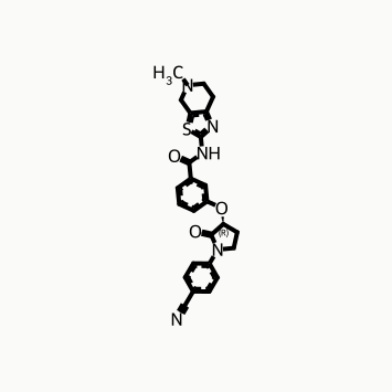 CN1CCc2nc(NC(=O)c3cccc(O[C@@H]4CCN(c5ccc(C#N)cc5)C4=O)c3)sc2C1